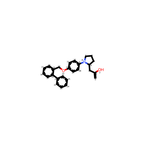 C=C(O)CC1CCCN1c1ccc(OCc2ccccc2-c2ccccc2)cc1